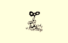 [2H]C(C(=O)O)[C@@H](C(=O)N(C)C)N(C)C(=O)CNC(=O)OCC1c2ccccc2-c2ccccc21